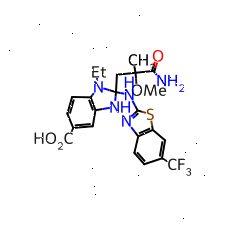 CCN1c2ccc(C(=O)O)cc2NC1(CC(C)(OC)C(N)=O)Nc1nc2ccc(C(F)(F)F)cc2s1